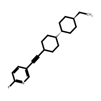 CC[C@H]1CC[C@H](C2CCC(C#Cc3ccc(F)nc3)CC2)CC1